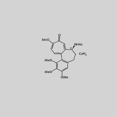 COc1cc2c(c(OC)c1OC)-c1ccc(OC)c(=O)cc1[C@@H](NC(C)=O)CC2.[CaH2]